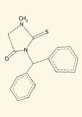 CN1CC(=O)N(C(c2ccccc2)c2ccccc2)C1=S